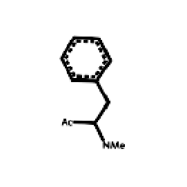 CNC(Cc1ccccc1)C(C)=O